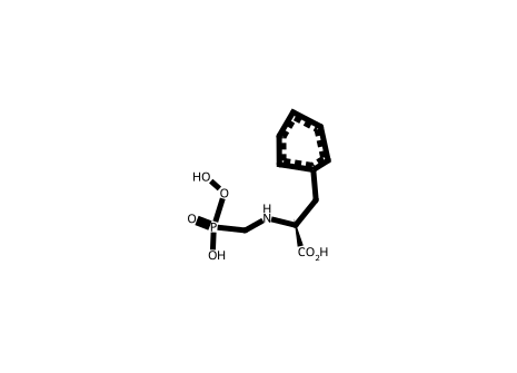 O=C(O)[C@H](Cc1ccccc1)NCP(=O)(O)OO